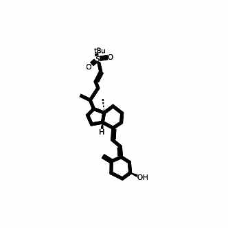 C=C1CC[C@H](O)C/C1=C/C=C1\CCC[C@]2(C)C(C(C)C/C=C/S(=O)(=O)C(C)(C)C)CC[C@@H]12